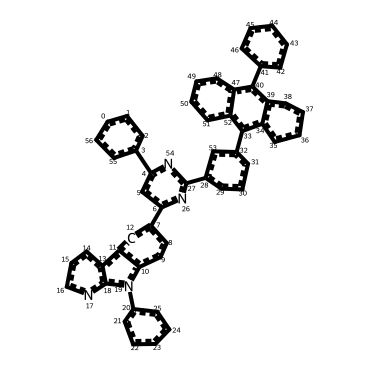 c1ccc(-c2cc(-c3ccc4c(c3)c3cccnc3n4-c3ccccc3)nc(-c3cccc(-c4c5ccccc5c(-c5ccccc5)c5ccccc45)c3)n2)cc1